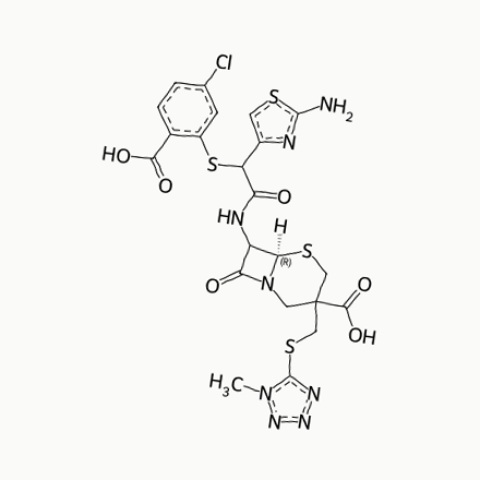 Cn1nnnc1SCC1(C(=O)O)CS[C@@H]2C(NC(=O)C(Sc3cc(Cl)ccc3C(=O)O)c3csc(N)n3)C(=O)N2C1